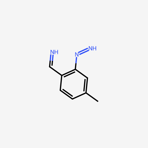 Cc1ccc(C=N)c(N=N)c1